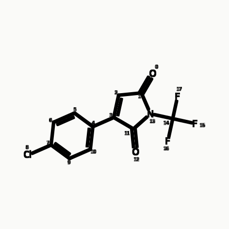 O=C1C=C(c2ccc(Cl)cc2)C(=O)N1C(F)(F)F